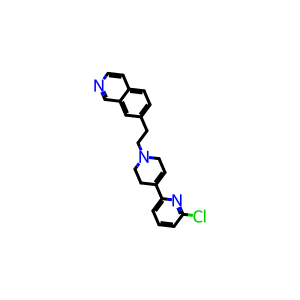 Clc1cccc(C2=CCN(CCc3ccc4ccncc4c3)CC2)n1